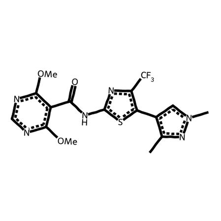 COc1ncnc(OC)c1C(=O)Nc1nc(C(F)(F)F)c(-c2cn(C)nc2C)s1